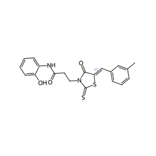 Cc1cccc(/C=C2\SC(=S)N(CCC(=O)Nc3ccccc3O)C2=O)c1